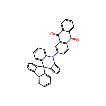 O=C1c2ccccc2C(=O)c2cc(N3c4ccccc4C4(c5ccccc5-c5ccccc54)c4ccccc43)ccc21